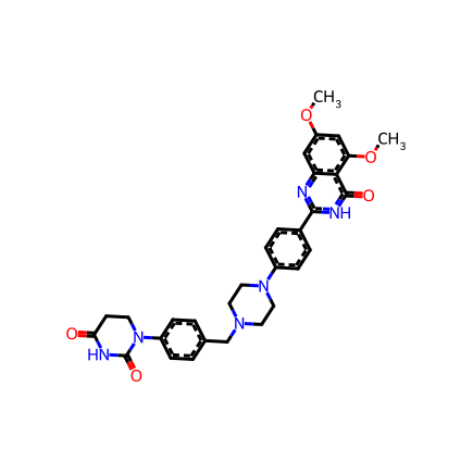 COc1cc(OC)c2c(=O)[nH]c(-c3ccc(N4CCN(Cc5ccc(N6CCC(=O)NC6=O)cc5)CC4)cc3)nc2c1